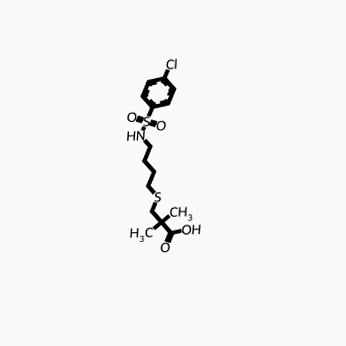 CC(C)(CSCCCCNS(=O)(=O)c1ccc(Cl)cc1)C(=O)O